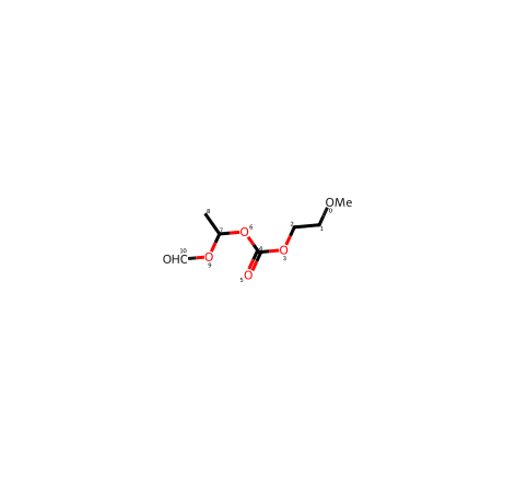 COCCOC(=O)OC(C)OC=O